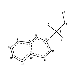 CCC(C)(C)c1[c]c2ccccc2cc1